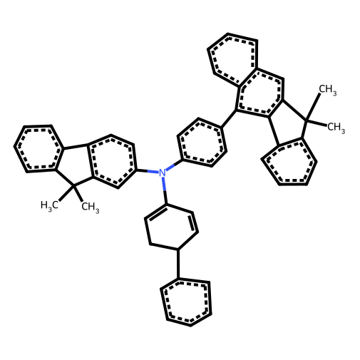 CC1(C)c2ccccc2-c2ccc(N(C3=CCC(c4ccccc4)C=C3)c3ccc(-c4c5c(cc6ccccc46)C(C)(C)c4ccccc4-5)cc3)cc21